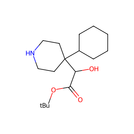 CC(C)(C)OC(=O)C(O)C1(C2CCCCC2)CCNCC1